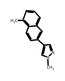 Cc1cccc2cc(-c3cnn(C)c3)ccc12